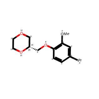 COc1cc(C(C)C)ccc1OC[C@H]1COCCO1